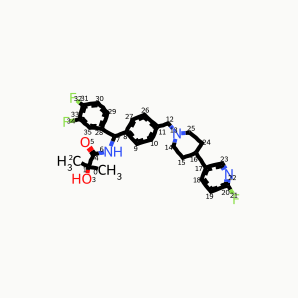 CC(C)(O)C(=O)NC(c1ccc(CN2CCC(c3ccc(F)nc3)CC2)cc1)c1ccc(F)c(F)c1